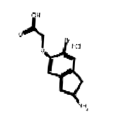 Cl.NC1Cc2cc(Br)c(OCC(=O)O)cc2C1